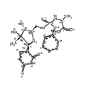 COC(=O)[C@H](C)NP(=S)(OC[C@H]1O[C@@H](n2ccc(=O)[nH]c2=O)[C@](C)(O)[C@@H]1O)Oc1ccccc1